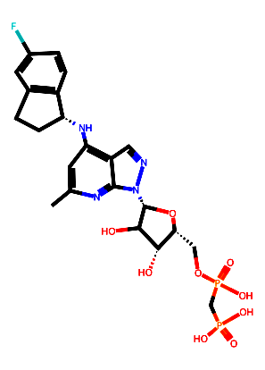 Cc1cc(N[C@@H]2CCc3cc(F)ccc32)c2cnn([C@@H]3O[C@H](COP(=O)(O)CP(=O)(O)O)[C@H](O)C3O)c2n1